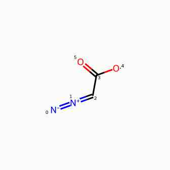 [N-]=[N+]=CC([O])=O